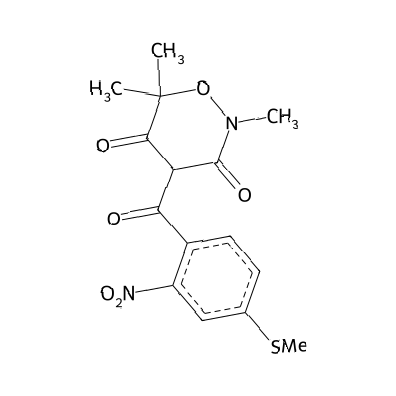 CSc1ccc(C(=O)C2C(=O)N(C)OC(C)(C)C2=O)c([N+](=O)[O-])c1